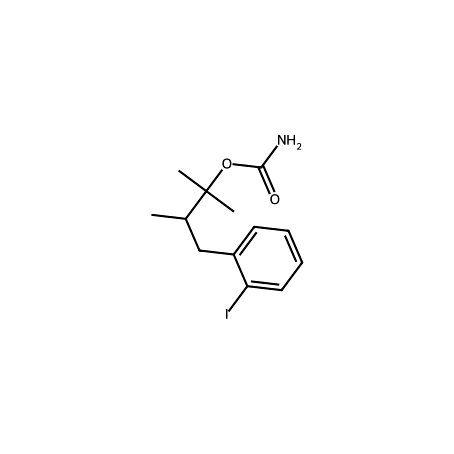 CC(Cc1ccccc1I)C(C)(C)OC(N)=O